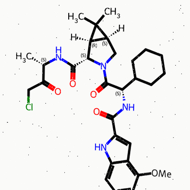 COc1cccc2[nH]c(C(=O)N[C@H](C(=O)N3C[C@H]4[C@@H]([C@H]3C(=O)N[C@@H](C)C(=O)CCl)C4(C)C)C3CCCCC3)cc12